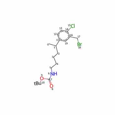 CC(CCCCNC(=O)OC(C)(C)C)c1ccc(Cl)c(CBr)c1